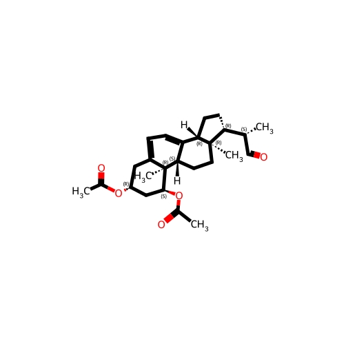 CC(=O)O[C@@H]1CC2=CC=C3[C@@H]4CC[C@H]([C@H](C)C=O)[C@@]4(C)CC[C@@H]3[C@@]2(C)[C@@H](OC(C)=O)C1